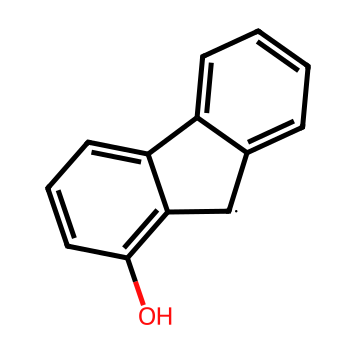 Oc1cccc2c1[CH]c1ccccc1-2